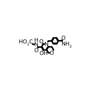 NC(=O)c1ccc(Cn2c3c(c(O)c(C(=O)NCC(=O)O)c2=O)COCC3)cc1